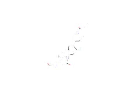 COC(=O)N1CC=C(c2cc3c(cc2F)N2C(=O)OC(CNC(C)=O)[C@@H]2C3)CC1